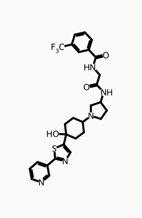 O=C(CNC(=O)c1cccc(C(F)(F)F)c1)NC1CCN(C2CCC(O)(c3cnc(-c4cccnc4)s3)CC2)C1